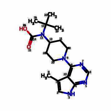 Cc1c[nH]c2ncnc(N3CCC(N(C(=O)O)C(C)(C)C)CC3)c12